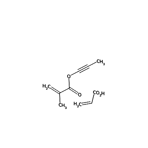 C=C(C)C(=O)OC#CC.C=CC(=O)O